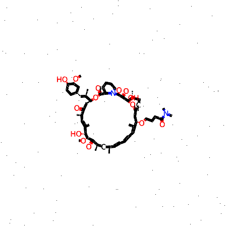 CO[C@@H]1C[C@H](C[C@@H](C)[C@@H]2CC(=O)[C@H](C)/C=C(\C)[C@@H](O)[C@@H](OC)C(=O)[C@H](C)C[C@H](C)/C=C/C=C/C=C(\C)[C@@H](OCCCC(=O)N(C)C)C[C@@H]3CC[C@@H](C)[C@@](O)(O3)C(=O)C(=O)N3CCCC[C@H]3C(=O)O2)CC[C@H]1O